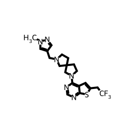 Cn1cc(CN2CCC3(CCN(c4ncnc5sc(CC(F)(F)F)cc45)C3)C2)cn1